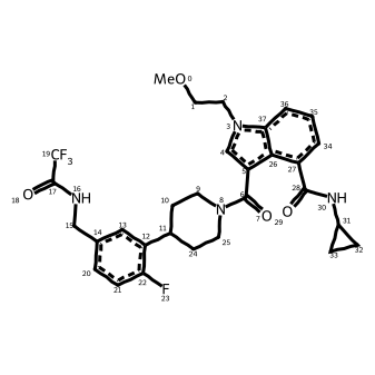 COCCn1cc(C(=O)N2CCC(c3cc(CNC(=O)C(F)(F)F)ccc3F)CC2)c2c(C(=O)NC3CC3)cccc21